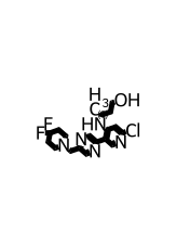 C[C@@H](CCO)Nc1cc(Cl)ncc1-c1cnc(CN2CCC(F)(F)CC2)cn1